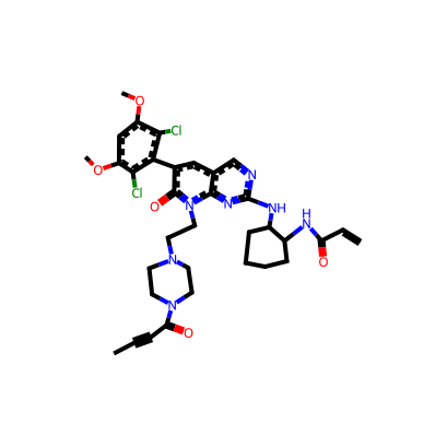 C=CC(=O)NC1CCCCC1Nc1ncc2cc(-c3c(Cl)c(OC)cc(OC)c3Cl)c(=O)n(CCN3CCN(C(=O)C#CC)CC3)c2n1